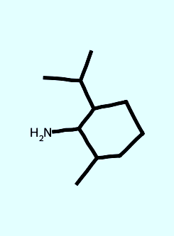 CC(C)C1CCCC(C)C1N